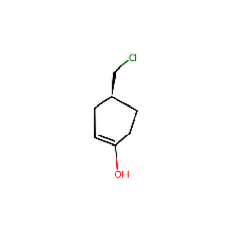 OC1=CC[C@@H](CCl)CC1